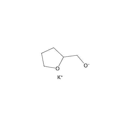 [K+].[O-]CC1CCCO1